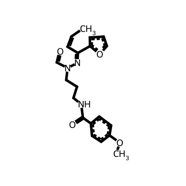 C/C=C\C(=N/N(C=O)CCCNC(=O)c1ccc(OC)cc1)c1ccco1